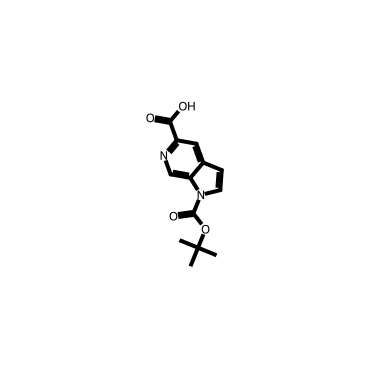 CC(C)(C)OC(=O)n1ccc2cc(C(=O)O)ncc21